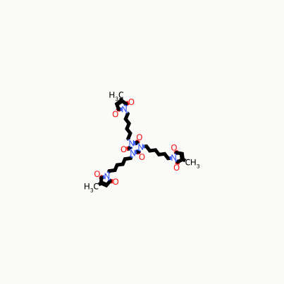 CC1=CC(=O)N(CCCCCCn2c(=O)n(CCCCCCN3C(=O)C=C(C)C3=O)c(=O)n(CCCCCCN3C(=O)C=C(C)C3=O)c2=O)C1=O